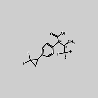 C[C@H]([C@H](C(=O)O)c1ccc(C2CC2(F)F)cc1)C(F)(F)F